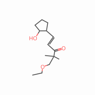 CCOCC(C)(C)C(=O)C=CC1CCCC1O